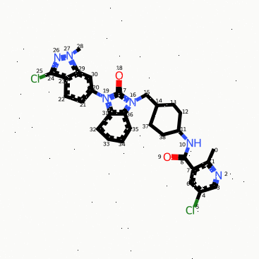 Cc1ncc(Cl)cc1C(=O)NC1CCC(Cn2c(=O)n(-c3ccc4c(Cl)nn(C)c4c3)c3ccccc32)CC1